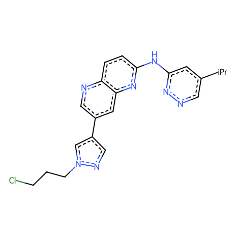 CC(C)c1cnnc(Nc2ccc3ncc(-c4cnn(CCCCl)c4)cc3n2)c1